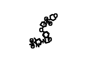 Cc1cc(N2CCOc3ccc(OC4CCN(S(=O)(=O)C5CCOCC5)C4)cc32)cnc1S(C)(=O)=O